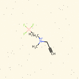 C#CC[NH+](C)C.C[B-](F)(F)F